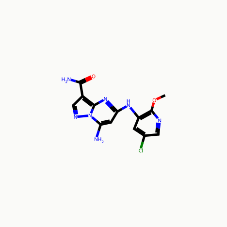 COc1ncc(Cl)cc1Nc1cc(N)n2ncc(C(N)=O)c2n1